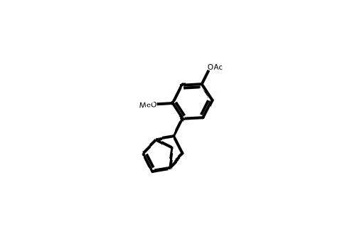 COc1cc(OC(C)=O)ccc1C1CC2C=CC1C2